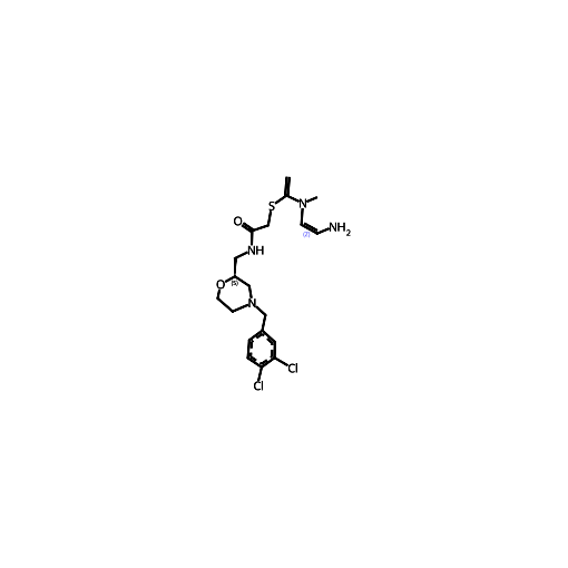 C=C(SCC(=O)NC[C@H]1CN(Cc2ccc(Cl)c(Cl)c2)CCO1)N(C)/C=C\N